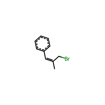 C/C(=C/c1ccccc1)CBr